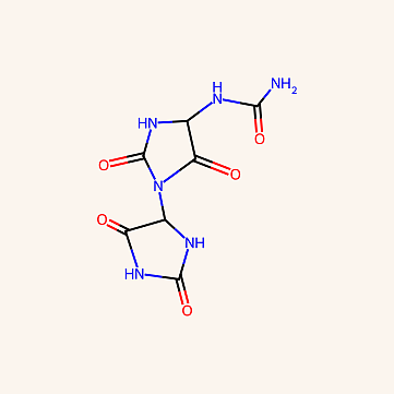 NC(=O)NC1NC(=O)N(C2NC(=O)NC2=O)C1=O